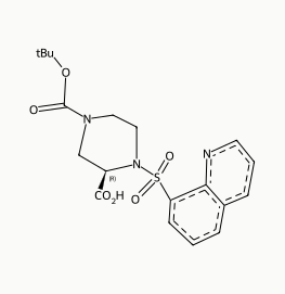 CC(C)(C)OC(=O)N1CCN(S(=O)(=O)c2cccc3cccnc23)[C@@H](C(=O)O)C1